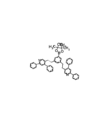 CC1(C)OB(c2cc(CCc3cnc(-c4ccccc4)cc3-c3ccccc3)cc(CCc3cnc(-c4ccccc4)cc3-c3ccccc3)c2)OC1(C)C